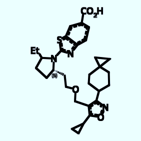 CCC1CC[C@@H](CCOCc2c(C3CCC4(CC3)CC4)noc2C2CC2)N1c1nc2ccc(C(=O)O)cc2s1